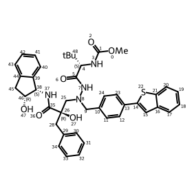 COC(=O)N[C@H](C(=O)NN(Cc1ccc(-c2cc3ccccc3s2)cc1)C[C@](O)(Cc1ccccc1)C(=O)N[C@H]1c2ccccc2C[C@H]1O)C(C)(C)C